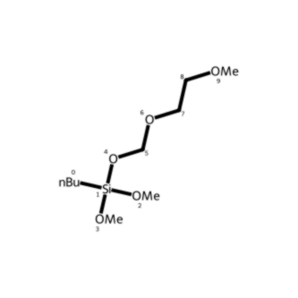 CCCC[Si](OC)(OC)OCOCCOC